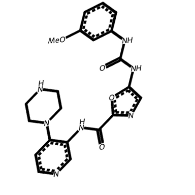 COc1cccc(NC(=O)Nc2cnc(C(=O)Nc3cnccc3N3CCNCC3)o2)c1